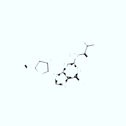 CC(C)C(=O)Nc1nc2c(ncn2[C@@H]2O[C@H](C=O)C[C@H]2F)c(=O)[nH]1